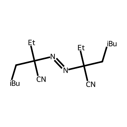 CCC(C)CC(C#N)(CC)N=NC(C#N)(CC)CC(C)CC